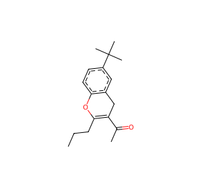 CCCC1=C(C(C)=O)Cc2cc(C(C)(C)C)ccc2O1